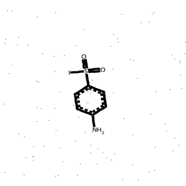 Nc1ccc(S(=O)(=O)I)cc1